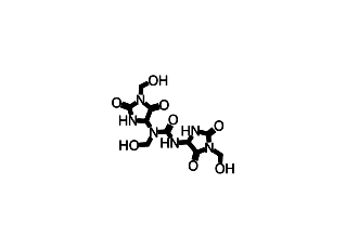 O=C1NC(NC(=O)N(CO)C2NC(=O)N(CO)C2=O)C(=O)N1CO